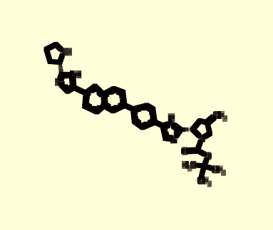 C=C1C[C@@H](c2ncc(-c3ccc(-c4ccc5cc(-c6cnc([C@@H]7CCCN7)[nH]6)ccc5c4)cc3)[nH]2)N(C(=O)OC(C)(C)C)C1